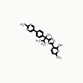 Cc1ccc(-c2nc(C(C)(c3ccc(-c4cnc(N)nc4)cc3)C(C)C)no2)c(O)n1